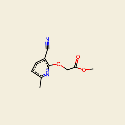 COC(=O)COc1nc(C)ccc1C#N